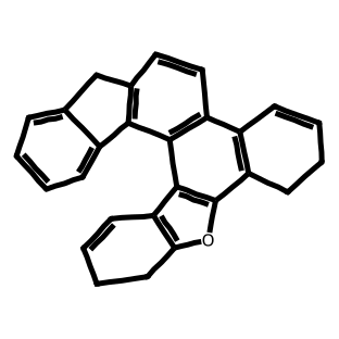 C1=Cc2c(oc3c4c(c5ccc6c(c5c23)-c2ccccc2C6)C=CCC4)CC1